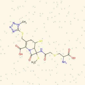 CSC1(NC(=O)CSCC(N)C(=O)O)C(=O)N2C(C(=O)O)=C(CSc3nnnn3C)CC(S)C21